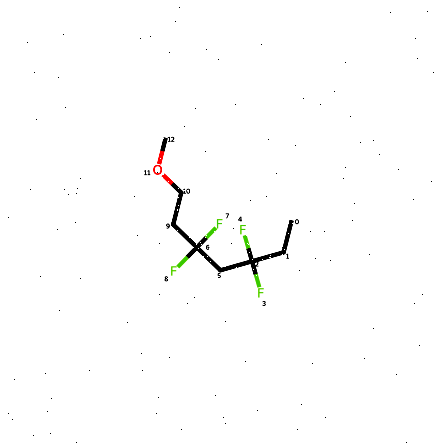 CCC(F)(F)CC(F)(F)CCOC